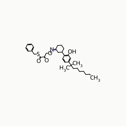 CCCCCCCC(C)(C)c1ccc(C2CCC/C(=N/OCC(=O)C(=O)SCc3ccccc3)C2)c(O)c1